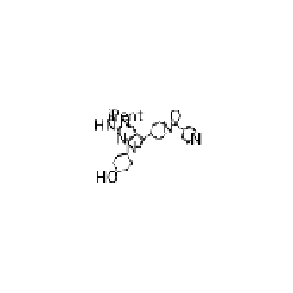 CCC[C@H](C)Nc1ncc2c(C3CCN(C(=O)c4ccncc4)CC3)cn(C3CCC(O)CC3)c2n1